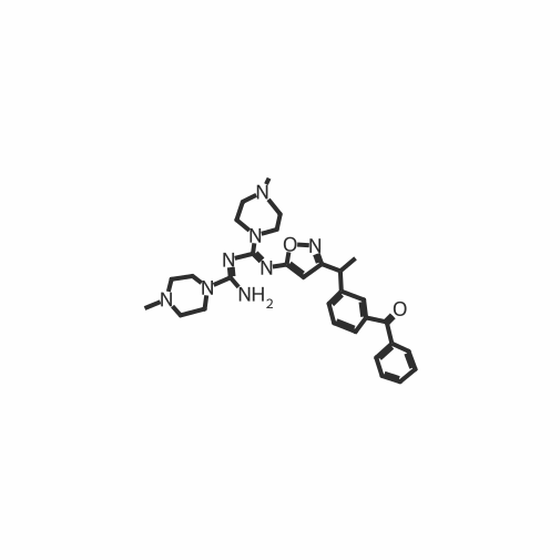 CC(c1cccc(C(=O)c2ccccc2)c1)c1cc(/N=C(/N=C(\N)N2CCN(C)CC2)N2CCN(C)CC2)on1